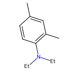 CCN(CC)c1ccc(C)cc1C